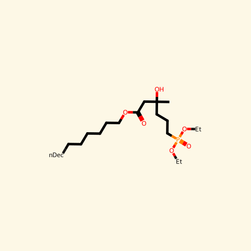 CCCCCCCCCCCCCCCCOC(=O)CC(C)(O)CCCP(=O)(OCC)OCC